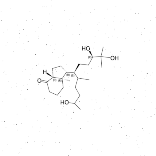 CC(O)CCC(C)[C@H](CC[C@@H](O)C(C)(C)O)[C@H]1CC[C@H]2C(=O)CCC[C@]12C